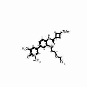 COC1CC(C(=O)Nc2ccc(-c3cc(C)c(=O)n(C)c3)cc2NCCOCC(F)(F)F)C1